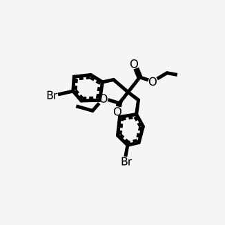 CCOC(=O)C(Cc1ccc(Br)cc1)(Cc1ccc(Br)cc1)C(=O)OCC